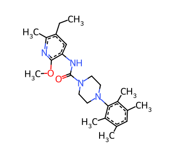 CCc1cc(NC(=O)N2CCN(c3c(C)c(C)cc(C)c3C)CC2)c(OC)nc1C